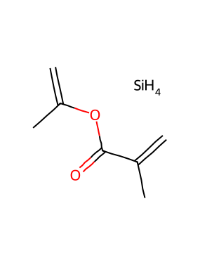 C=C(C)OC(=O)C(=C)C.[SiH4]